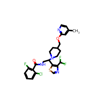 Cc1ccnc(OCC2CCN(C(CNC(=O)c3c(F)cccc3Cl)c3scnc3C(F)F)CC2)c1